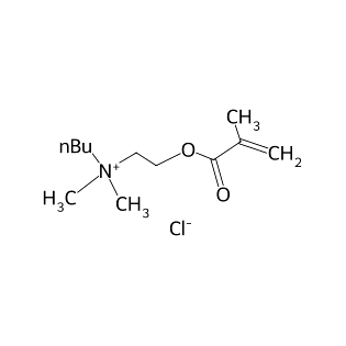 C=C(C)C(=O)OCC[N+](C)(C)CCCC.[Cl-]